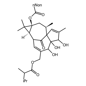 CCCCCCCCCC(=O)O[C@@]12C[C@@H](C)C34C=C(C)C(O)C3(O)C(O)C(COC(=O)C(C)C(C)C)=CC(C4=O)[C@H]1C2(C)C